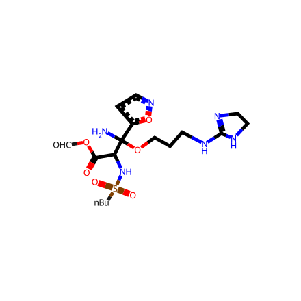 CCCCS(=O)(=O)NC(C(=O)OC=O)C(N)(OCCCNC1=NCCN1)c1ccno1